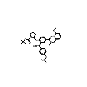 COC1C=CC=C(CN(C)C(=O)c2ccc(CC3CCCN3C(=O)OC(C)(C)C)c(C(O)c3ccc(OC(F)F)cc3)c2)N1